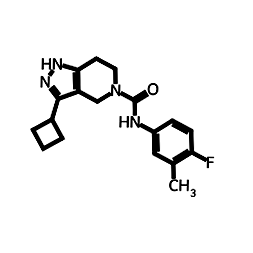 Cc1cc(NC(=O)N2CCc3[nH]nc(C4CCC4)c3C2)ccc1F